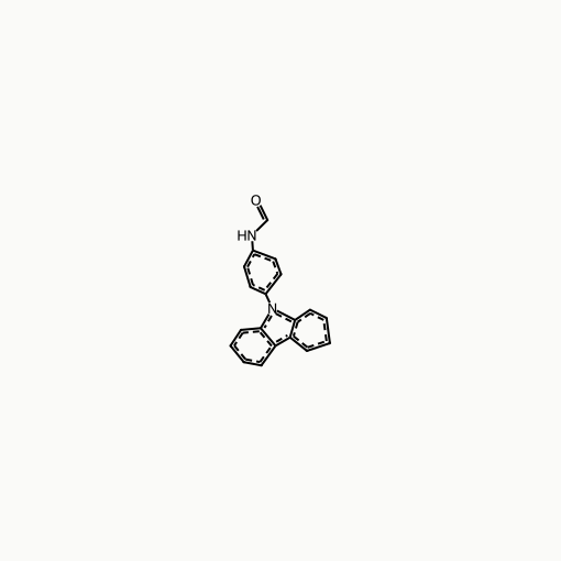 O=CNc1ccc(-n2c3ccccc3c3ccccc32)cc1